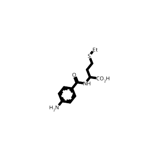 CCSCCC(NC(=O)c1ccc(N)cc1)C(=O)O